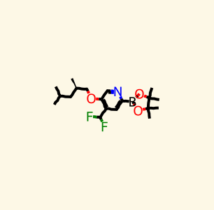 CC(C)C[C@@H](C)COc1cnc(B2OC(C)(C)C(C)(C)O2)cc1C(F)F